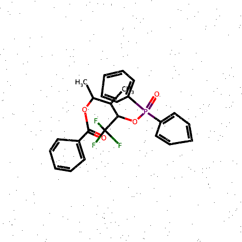 CC(OC(=O)c1ccccc1)C(C)C(OP(=O)(c1ccccc1)c1ccccc1)C(F)(F)F